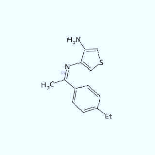 CCc1ccc(/C(C)=N\c2cscc2N)cc1